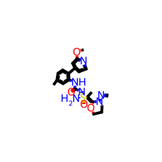 C=NN1CCCO/C1=C(/C)[S@@](N)(=O)=NC(=O)Nc1cc(C)ccc1-c1ccnc(OC)c1